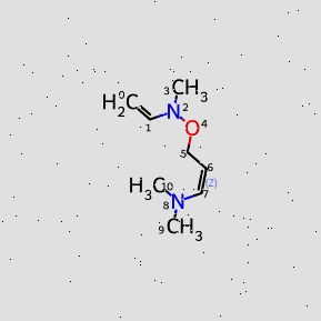 C=CN(C)OC/C=C\N(C)C